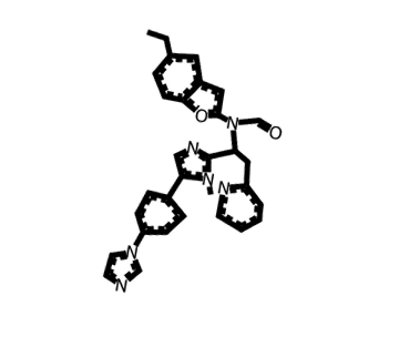 CCc1ccc2oc(N(C=O)C(Cc3ccccn3)c3ncc(-c4ccc(-n5ccnc5)cc4)n3C)cc2c1